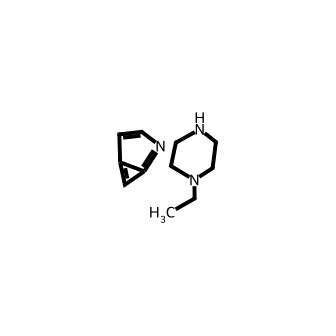 CCN1CCNCC1.c1cc2cc-2n1